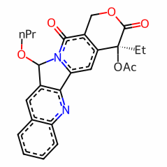 CCCOC1c2cc3ccccc3nc2-c2cc3c(c(=O)n21)COC(=O)[C@@]3(CC)OC(C)=O